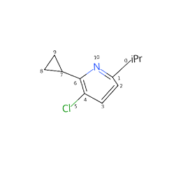 CC(C)c1ccc(Cl)c(C2CC2)n1